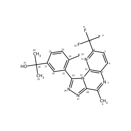 Cc1nc2ccc(C(F)(F)F)nc2n2c(-c3cc(C(C)(C)O)ccc3F)nnc12